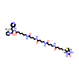 C[C@H](c1ccncc1)[C@H](NC(=O)CCCCCNC(=O)CCCNC(=O)CCCNC(=O)CCCNC(=O)CCCC[C@@H]1SC[C@@H]2NC(=O)N[C@@H]21)C(=O)N1CCCC1